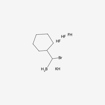 BC(Br)C1CCCCC1.F.F.F.[KH]